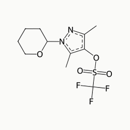 Cc1nn(C2CCCCO2)c(C)c1OS(=O)(=O)C(F)(F)F